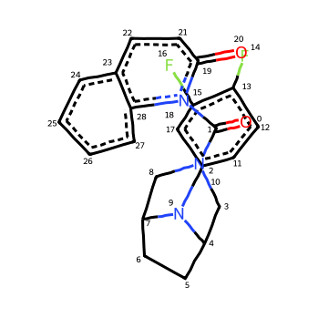 O=C(N1CC2CCC(C1)N2c1ccc(F)c(F)c1)n1c(=O)ccc2ccccc21